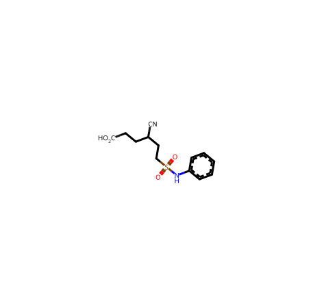 N#CC(CCC(=O)O)CCS(=O)(=O)Nc1ccccc1